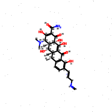 C=NC/C=C/c1ccc2c(c1O)C(=O)C1=C(O)[C@]3(O)C(=O)C(C(N)=O)=C(O)[C@@H](N(C)C)[C@@H]3[C@@H](O)[C@@H]1[C@H]2C